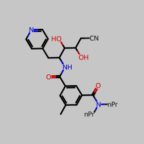 CCCN(CCC)C(=O)c1cc(C)cc(C(=O)NC(Cc2ccncc2)C(O)C(O)CC#N)c1